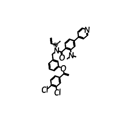 C=C[C@@H](C)N(Cc1cccc(OC(=C)c2ccc(Cl)c(Cl)c2)c1)C(=O)c1ccc(-c2ccncc2)cc1N(C)C